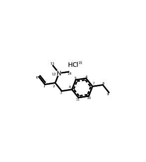 C=CC(Cc1ccc(CC)cc1)N(C)C.Cl